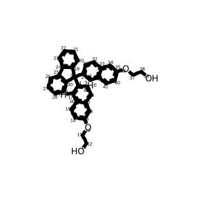 [2H]c1c(C2(c3ccc4cc(OCCO)ccc4c3[2H])c3ccccc3-c3ccccc32)ccc2cc(OCCO)ccc12